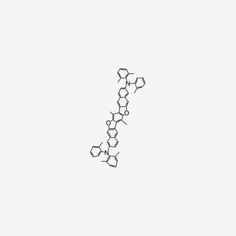 Cc1ccccc1N(c1ccc2cc3c(cc2c1)oc1c(C)c2c(oc4cc5cc(N(c6ccccc6C)c6c(C)cccc6C)ccc5cc42)c(C)c13)c1c(C)cccc1C